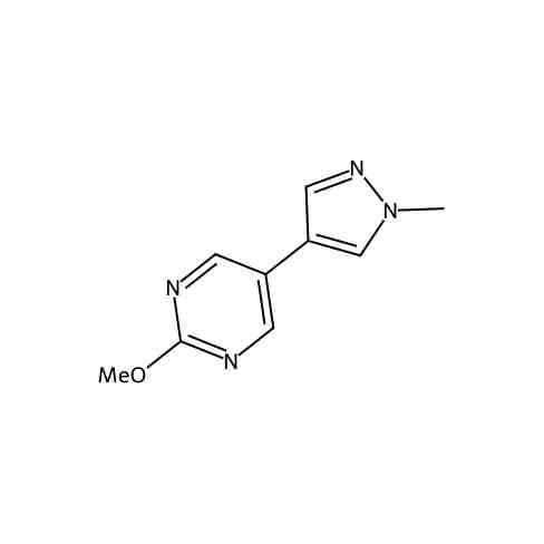 COc1ncc(-c2cnn(C)c2)cn1